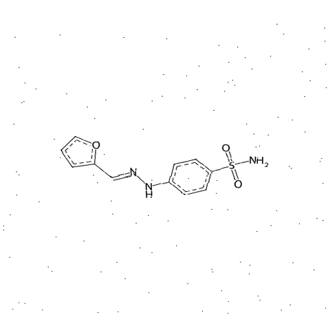 NS(=O)(=O)c1ccc(N/N=C/c2ccco2)cc1